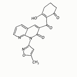 Cc1cc(-n2c(=O)c(C(=O)C3=C(O)CCCC3=O)cc3cccnc32)no1